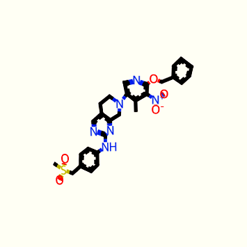 Cc1c(N2CCc3cnc(Nc4ccc(CS(C)(=O)=O)cc4)nc3C2)cnc(OCc2ccccc2)c1[N+](=O)[O-]